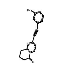 O=C1CCCc2nc(C#Cc3cccc(Br)c3)ccc21